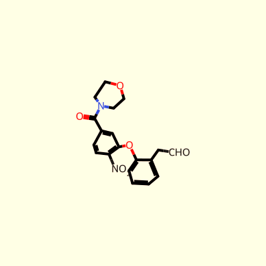 O=CCc1ccccc1Oc1cc(C(=O)N2CCOCC2)ccc1[N+](=O)[O-]